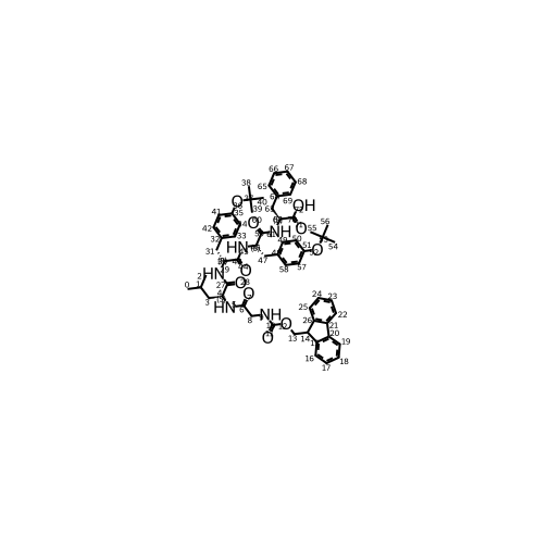 CC(C)C[C@H](NC(=O)CNC(=O)OCC1c2ccccc2-c2ccccc21)C(=O)N[C@H](Cc1ccc(OC(C)(C)C)cc1)C(=O)N[C@@H](Cc1ccc(OC(C)(C)C)cc1)C(=O)N[C@@H](Cc1ccccc1)C(=O)O